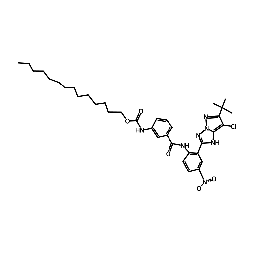 CCCCCCCCCCCCCCOC(=O)Nc1cccc(C(=O)Nc2ccc([N+](=O)[O-])cc2-c2nn3nc(C(C)(C)C)c(Cl)c3[nH]2)c1